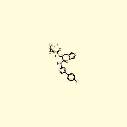 CCOC(=O)[C@@H]1O[C@H]1C(=O)N[C@@H](Cc1cscn1)C(=O)Nc1nc(-c2ccc(F)cc2)cs1